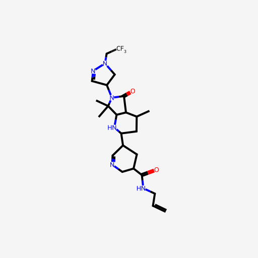 C=CCNC(=O)C1CN=CC(C2CC(C)C3C(=O)N(C4C=NN(CC(F)(F)F)C4)C(C)(C)C3N2)C1